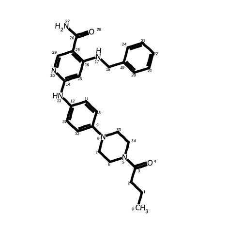 CCCC(=O)N1CCN(c2ccc(Nc3cc(NCc4ccccc4)c(C(N)=O)cn3)cc2)CC1